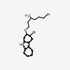 CC(C)CCCC(C)CCOc1cc2[nH]c3ccccc3c2cc1Br